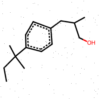 CCC(C)(C)c1ccc(CC(C)CO)cc1